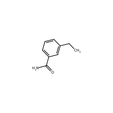 CCc1[c]c(C(N)=O)ccc1